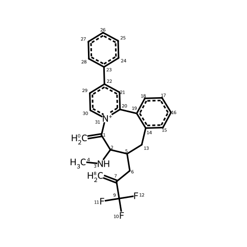 C=C1C(NC)C(CC(=C)C(F)(F)F)Cc2ccccc2-c2cc(-c3ccccc3)cc[n+]21